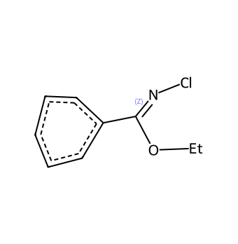 CCO/C(=N\Cl)c1ccccc1